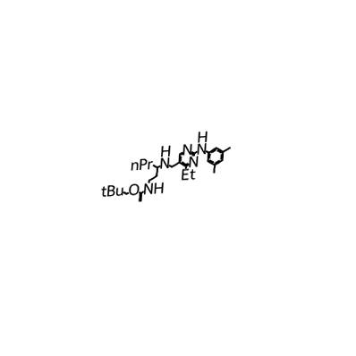 C=C(NCCC(CCC)NCc1cnc(Nc2cc(C)cc(C)c2)nc1CC)OCC(C)(C)C